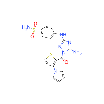 Nc1nc(Nc2ccc(S(N)(=O)=O)cc2)nn1C(=O)c1sccc1-n1cccc1